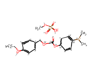 COS(=O)(=O)O.COc1ccc(COC(=O)Oc2ccc([S+](C)C)cc2)cc1